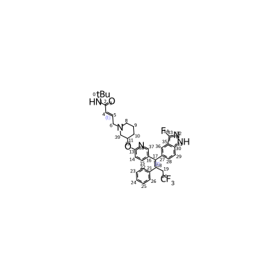 CC(C)(C)NC(=O)/C=C/CN1CCCC(Oc2ccc(/C(=C(/CC(F)(F)F)c3ccccc3)c3ccc4[nH]nc(F)c4c3)cn2)C1